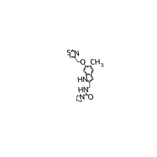 Cc1cc2cc(CNC(=O)N3CCC3)[nH]c2cc1OCc1cscn1